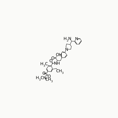 CCc1cc(S(=O)(=O)N(C)C)cc(C)c1C(=O)NC(Cc1ccc(N2CCC(C(N)c3ccccn3)CC2)cc1)C(=O)O